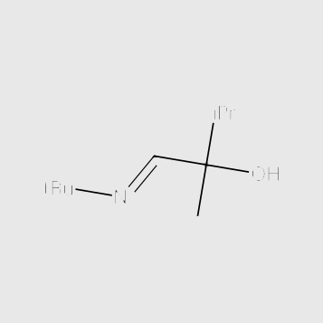 CC(C)C(C)(O)C=NC(C)(C)C